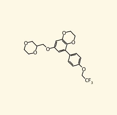 FC(F)(F)COc1ccc(-c2cc(OCC3COCCO3)cc3c2OCCO3)cc1